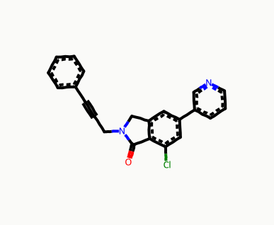 O=C1c2c(Cl)cc(-c3cccnc3)cc2CN1CC#Cc1ccccc1